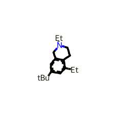 CCc1cc(C(C)(C)C)cc2c1CCN(CC)C2